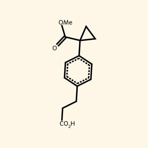 COC(=O)C1(c2ccc(CCC(=O)O)cc2)CC1